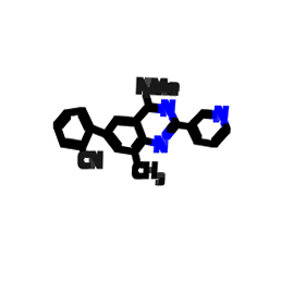 CNc1nc(-c2cccnc2)nc2c(C)cc(-c3ccccc3C#N)cc12